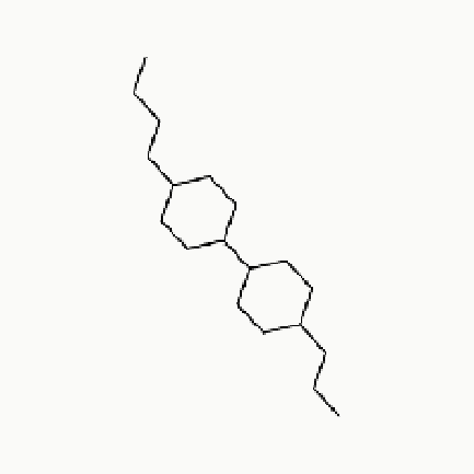 CCCCC1CC[C](C2CCC(CCC)CC2)CC1